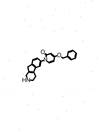 O=c1cc(OCc2ccccc2)ccn1-c1ccc2c(c1)C1=C(CNCC1)C2